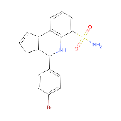 NS(=O)(=O)c1cccc2c1NC(c1ccc(Br)cc1)C1CC=CC21